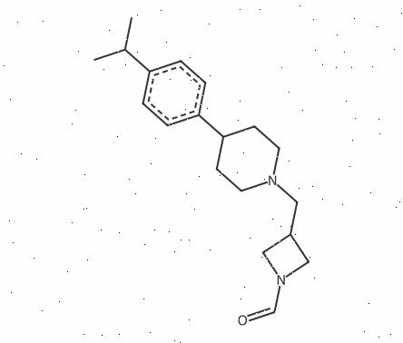 CC(C)c1ccc(C2CCN(CC3CN(C=O)C3)CC2)cc1